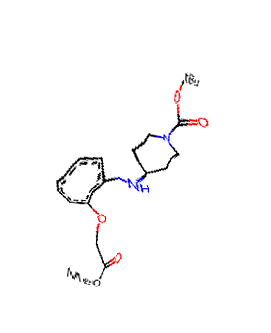 COC(=O)COc1ccccc1NC1CCN(C(=O)OC(C)(C)C)CC1